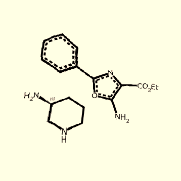 CCOC(=O)c1nc(-c2ccccc2)oc1N.N[C@H]1CCCNC1